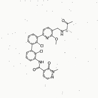 COc1nc(-c2cccc(-c3cccc(NC(=O)c4ccnn(C)c4=O)c3Cl)c2Cl)ccc1CN[C@@H](C)C(C)=O